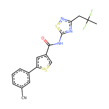 CC(F)(F)Cc1nsc(NC(=O)c2csc(-c3cccc(C#N)c3)c2)n1